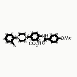 COc1ccc(C(=O)Nc2ccc(N3CCN(c4ccccc4C)CC3)cc2C(=O)O)cc1